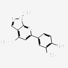 COc1cc(-c2cc(C(=O)O)c3cnn(C)c3n2)ccc1N